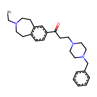 CC(C)CN1CCc2ccc(C(=O)CCN3CCN(Cc4ccccc4)CC3)cc2CC1